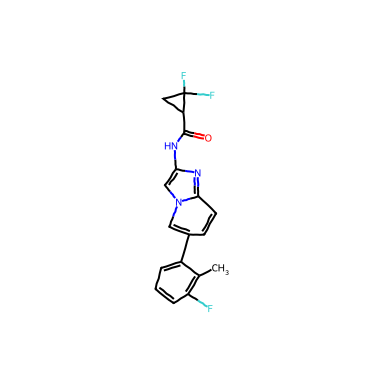 Cc1c(F)cccc1-c1ccc2nc(NC(=O)C3CC3(F)F)cn2c1